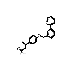 CC(CC(=O)O)c1ccc(OCc2cccc(-c3ccccn3)c2)cc1